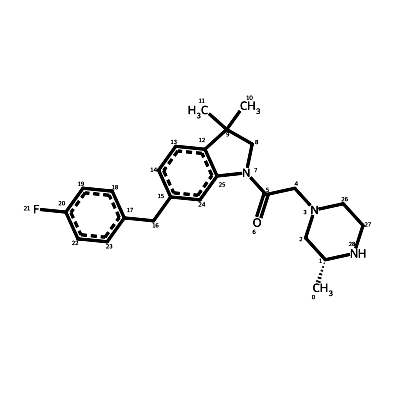 C[C@@H]1CN(CC(=O)N2CC(C)(C)c3ccc(Cc4ccc(F)cc4)cc32)CCN1